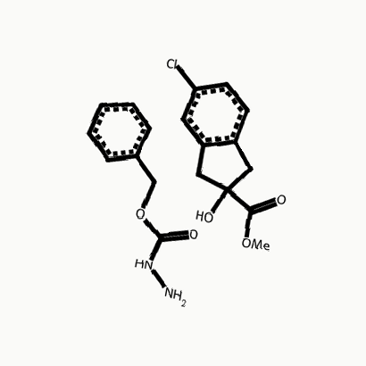 COC(=O)C1(O)Cc2ccc(Cl)cc2C1.NNC(=O)OCc1ccccc1